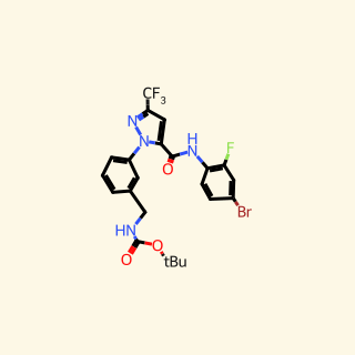 CC(C)(C)OC(=O)NCc1cccc(-n2nc(C(F)(F)F)cc2C(=O)Nc2ccc(Br)cc2F)c1